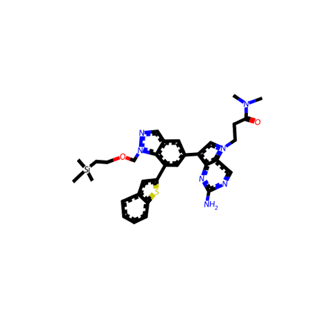 CN(C)C(=O)CCn1cc(-c2cc(-c3cc4ccccc4s3)c3c(cnn3COCC[Si](C)(C)C)c2)c2nc(N)ncc21